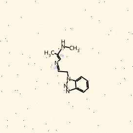 CN/C(C)=C/N=C\Cn1nnc2ccccc21